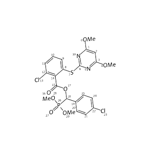 COc1cc(OC)nc(Sc2cccc(Cl)c2C(=O)OC(c2ccc(Cl)cc2)P(=O)(OC)OC)n1